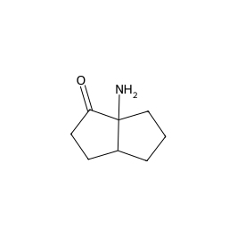 NC12CCCC1CCC2=O